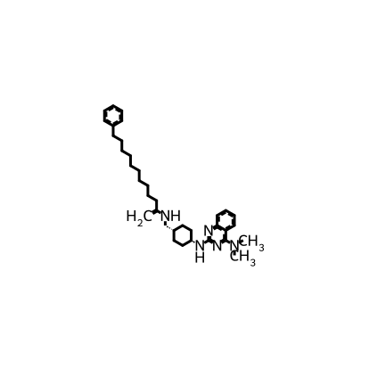 C=C(CCCCCCCCCCc1ccccc1)NC[C@H]1CC[C@@H](Nc2nc(N(C)C)c3ccccc3n2)CC1